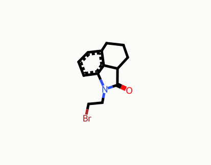 O=C1C2CCCc3cccc(c32)N1CCBr